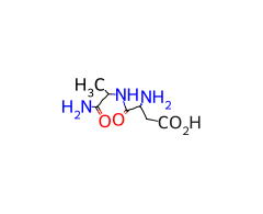 CC(NC(=O)[C@@H](N)CC(=O)O)C(N)=O